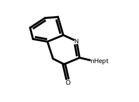 CCCCCCCC1=Nc2ccccc2CC1=O